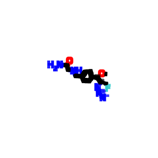 CO[C@H](c1ccc(CNCC(N)=O)cc1)[C@@H](CF)N=[N+]=[N-]